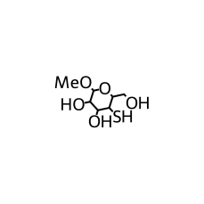 COC1OC(CO)C(S)C(O)C1O